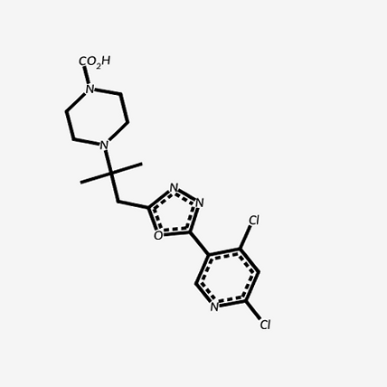 CC(C)(Cc1nnc(-c2cnc(Cl)cc2Cl)o1)N1CCN(C(=O)O)CC1